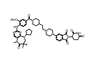 COc1cc(C(=O)N2CCC(CCN3CCN(c4ccc5c(c4)C(=O)N(C4CCC(=O)NC4=O)C5=O)CC3)CC2)ccc1Nc1ncc2c(n1)N(C1CCCC1)CC(F)(F)C(=O)N2C